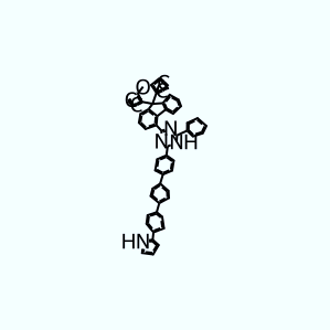 c1ccc(C2N=C(c3cccc4c3-c3ccccc3C43c4ccccc4Oc4ccccc43)N=C(c3ccc(-c4ccc(-c5ccc(-c6ccc[nH]6)cc5)cc4)cc3)N2)cc1